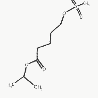 CC(C)OC(=O)CCCCOS(C)(=O)=O